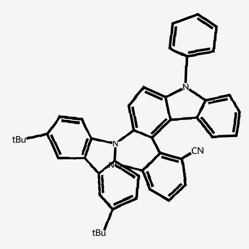 CC(C)(C)c1ccc2c(c1)c1cc(C(C)(C)C)ccc1n2-c1ccc2c(c1-c1c(C#N)cccc1C#N)c1ccccc1n2-c1ccccc1